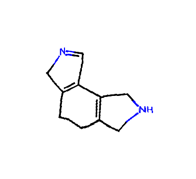 C1=NCC2=C1C1=C(CC2)CNC1